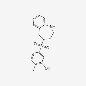 Cc1ccc(S(=O)(=O)C2CCNc3ccccc3C2)cc1O